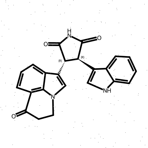 O=C1CCn2cc([C@@H]3C(=O)NC(=O)[C@H]3c3c[nH]c4ccccc34)c3cccc1c32